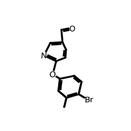 Cc1cc(Oc2ccc(C=O)cn2)ccc1Br